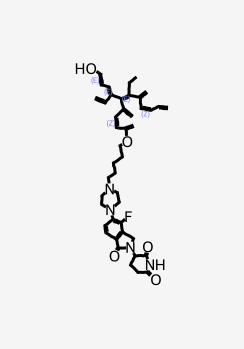 C=C/C=C\C(=C)/C(CC)=C(C(=C)/C=C\C(=C)OCCCCCN1CCN(c2ccc3c(c2F)CN(C2CCC(=O)NC2=O)C3=O)CC1)/C(C=C)=C/C=C/O